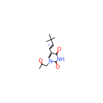 CC(=O)Cn1cc(/C=C/C(C)(C)C)c(=O)[nH]c1=O